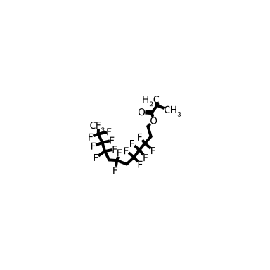 C=C(C)C(=O)OCCC(F)(F)C(F)(F)C(F)(F)CC(F)(F)CC(F)(F)C(F)(F)C(F)(F)C(F)(F)F